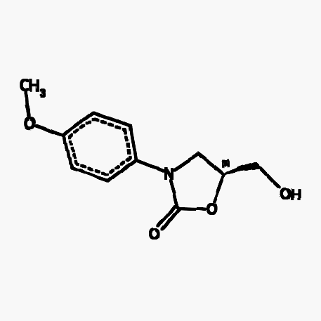 COc1ccc(N2C[C@@H](CO)OC2=O)cc1